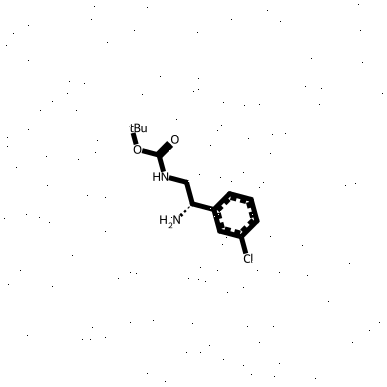 CC(C)(C)OC(=O)NC[C@@H](N)c1cccc(Cl)c1